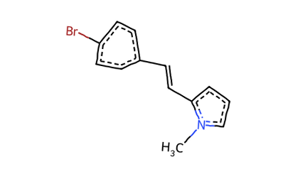 Cn1cccc1/C=C/c1ccc(Br)cc1